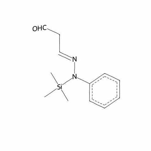 C[Si](C)(C)N(N=CCC=O)c1ccccc1